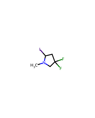 CN1CC(F)(F)CC1I